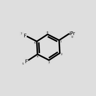 CC(C)c1ccc(F)c(F)c1